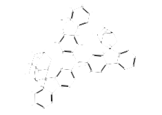 c1ccc2c(c1)-c1ccc(N(c3ccc4c(c3)C3(c5ccccc5-4)C4CCC5CC(C4)CC3C5)c3ccc4oc5ccccc5c4c3)cc1C21CC2CCC1C2